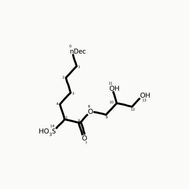 CCCCCCCCCCCCCCC(C(=O)OCC(O)CO)S(=O)(=O)O